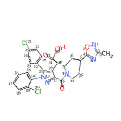 Cc1noc(C2CCN(C(=O)c3nn(-c4ccccc4Cl)c(-c4ccc(Cl)cc4)c3CC(=O)O)CC2)n1